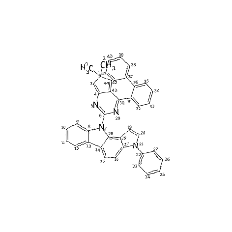 CC1(C)C=c2nc(-n3c4ccccc4c4ccc5c(ccn5-c5ccccc5)c43)nc(-c3ccccc3-c3ccccc3)c2=C1